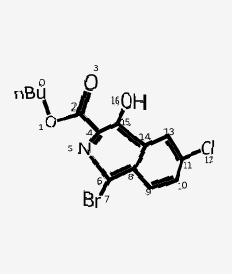 CCCCOC(=O)c1nc(Br)c2ccc(Cl)cc2c1O